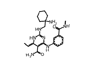 CC=C1NC(NCC2(N)CCCCC2)=NC(Nc2cccc(C(=O)NC)c2)=C1C(N)=O